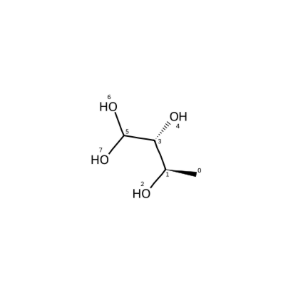 C[C@@H](O)[C@@H](O)C(O)O